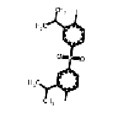 CC(C)c1cc(S(=O)(=O)c2ccc(I)c(C(C)C)c2)ccc1I